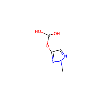 Cn1ncc(OB(O)O)n1